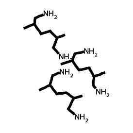 CC(CN)CCC(C)CN.CC(CN)CCC(C)CN.CC(CN)CCC(C)CN